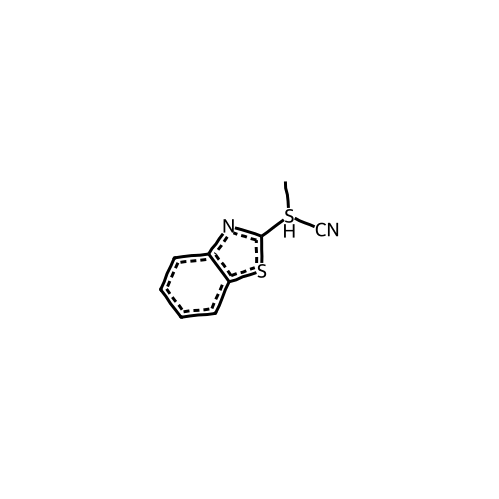 C[SH](C#N)c1nc2ccccc2s1